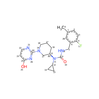 Cc1ccc(F)c(CNC(=O)N(C2CC2)[C@@H]2CCCN(c3nccc(O)n3)C2)c1